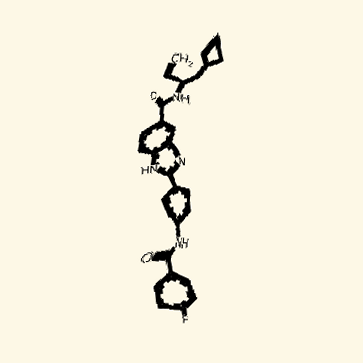 C=CC(CC1CCC1)NC(=O)c1ccc2[nH]c(-c3ccc(NC(=O)c4ccc(F)cc4)cc3)nc2c1